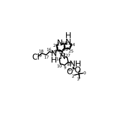 CC(C)(C)OC(=O)NC1CCCN(c2c(NCCCCl)cnc3[nH]ccc23)C1